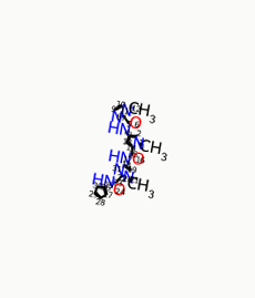 Cn1cc(NC(=O)c2nccn2C)cc1C(=O)Nc1cn(C)c(C(=O)NC2=CC=CC2)n1